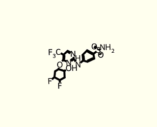 NS(=O)(=O)c1ccc(Nc2ncc(C(F)(F)F)c(OC3CC(F)C(F)CC3O)n2)cc1